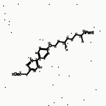 CCCCCCCCCCCc1cnc(-c2ccc(OCCC(F)CCCC(C)CCCCC)cc2)nc1